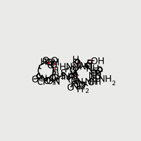 COc1cc2cc(c1Cl)N(C)C(=O)C[C@H](OC(=O)[C@H](C)N(C)C(=O)CCSSCCCN[C@H](Cc1ccccc1)C(=O)N[C@H]1CSSC[C@@H](C(=O)N[C@@H](Cc3c[nH]c4ccccc34)C(N)=O)NC(=O)[C@H](C(C)C)NC(=O)[C@H](CCCCN)NC(=O)[C@@H](Cc3c[nH]c4ccccc34)NC(=O)[C@H](Cc3ccc(O)cc3)NC1=O)[C@]1(C)CC[C@H]1[C@H](C)[C@@H]1C[C@@](O)(NC(=O)O1)[C@H](OC)/C=C/C=C(\C)C2